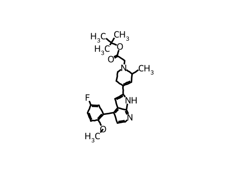 COc1ccc(F)cc1-c1ccnc2[nH]c(C3=CC(C)N(CC(=O)OC(C)(C)C)CC3)cc12